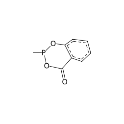 CP1OC(=O)c2ccccc2O1